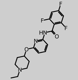 CCN1CCC(Oc2cccc(NC(=O)c3c(F)cc(F)cc3F)n2)CC1